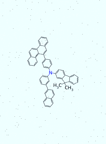 CC1(C)c2ccccc2-c2ccc(N(c3ccc(-c4cc5ccccc5c5ccc6ccccc6c45)cc3)c3cccc(-c4ccc5ccccc5c4)c3)cc21